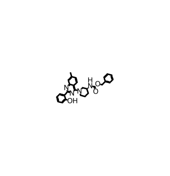 Cc1ccc2c(N3CCC[C@H](NC(=O)OCc4ccccc4)C3)nc(-c3ccccc3O)nc2c1